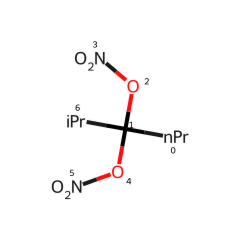 CCCC(O[N+](=O)[O-])(O[N+](=O)[O-])C(C)C